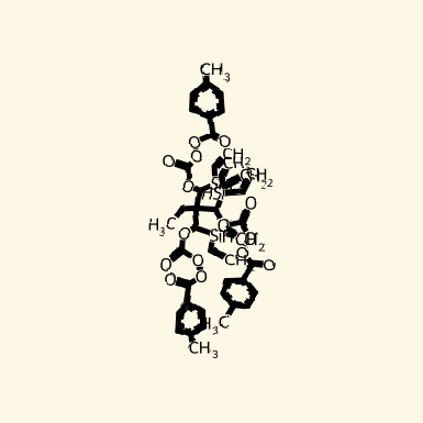 C=C[SiH](C=C)C(OC(=O)OOC(=O)c1ccc(C)cc1)C(CC)(C(OC(=O)OOC(=O)c1ccc(C)cc1)[SiH](C=C)C=C)C(OC(=O)OOC(=O)c1ccc(C)cc1)[SiH](C=C)C=C